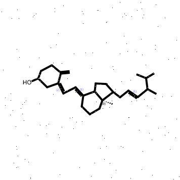 C=C1CCC(O)C/C1=C/C=C1\CCC[C@]2(C)C(C/C=C/C(C)C(C)C)CCC12